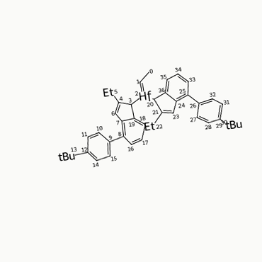 C[CH]=[Hf]([CH]1C(CC)=Cc2c(-c3ccc(C(C)(C)C)cc3)cccc21)[CH]1C(CC)=Cc2c(-c3ccc(C(C)(C)C)cc3)cccc21